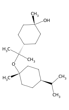 CC(C)[C@H]1CC[C@](C)(OC(C)(C)[C@H]2CC[C@@](C)(O)CC2)CC1